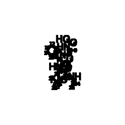 C[C@H](NC(=O)O)C(=O)N1CC2(CCCCC2)C[C@H]1C(=O)N[C@@H](CCC(C)(F)F)C(=O)C(=O)NC1CC1